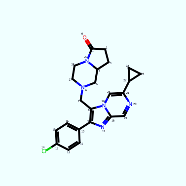 O=C1CCC2CN(Cc3c(-c4ccc(Cl)cc4)nc4cnc(C5CC5)cn34)CCN12